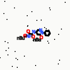 CCCCONC(=O)C(=O)/N=c1/cnn(-c2ccccc2)c(OCCCC)c1